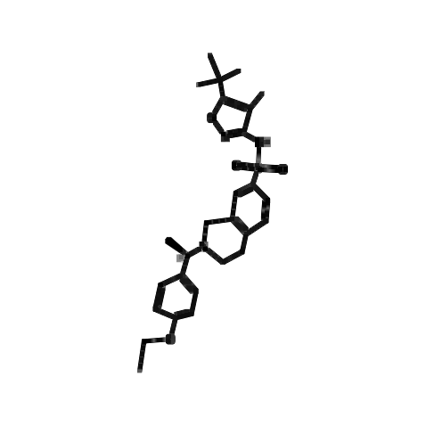 CCOc1ccc([C@@H](C)N2CCc3ccc(S(=O)(=O)Nc4noc(C(C)(C)C)c4C)cc3C2)cc1